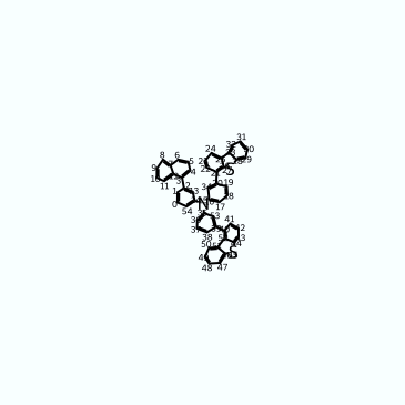 c1cc(-c2cccc3ccccc23)cc(N(c2cccc(-c3cccc4c3sc3ccccc34)c2)c2cccc(-c3cccc4sc5ccccc5c34)c2)c1